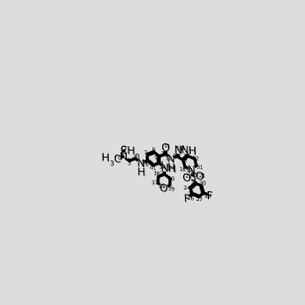 CN(C)CCNc1ccc(C(=O)Nc2n[nH]c3c2CN(S(=O)(=O)c2cc(F)cc(F)c2)CC3)c(NC2CCOCC2)c1